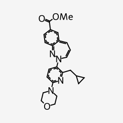 COC(=O)c1ccc2c(c1)=CC=CN(c1ccc(N3CCOCC3)nc1CC1CC1)N=2